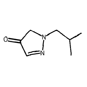 CC(C)CN1CC(=O)C=N1